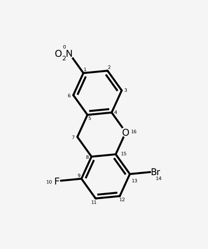 O=[N+]([O-])c1ccc2c(c1)Cc1c(F)ccc(Br)c1O2